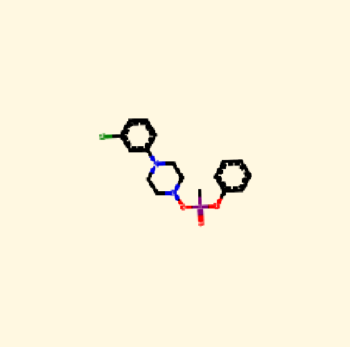 CP(=O)(Oc1ccccc1)ON1CCN(c2cccc(Cl)c2)CC1